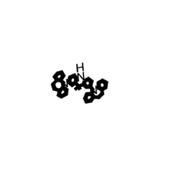 CC1(C)c2cc(N3c4ccccc4C=Cc4ccccc43)ccc2Nc2ccc(N3c4ccccc4C=Cc4ccccc43)cc21